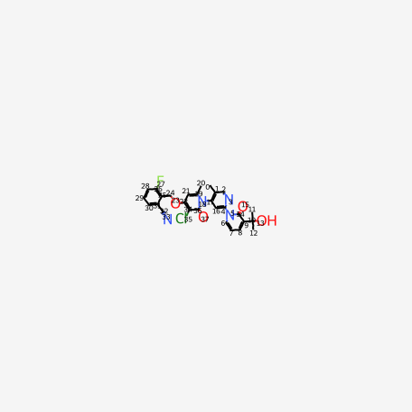 Cc1cnc(-n2cccc(C(C)(C)O)c2=O)cc1-n1c(C)cc(OCc2c(F)cccc2C#N)c(Cl)c1=O